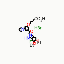 Br.CCOc1cc2c(c(F)c1OCC)C(=N)N(CC(=O)c1cc(OCCCCC(=O)O)cc(N3CCCC3)c1)C2